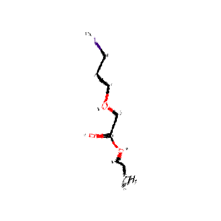 CCOC(=O)COCCCI